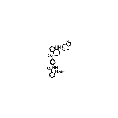 CNc1ccccc1C(=O)Nc1ccc(C(=O)N2CCCC(NC(=O)Cc3ncc[nH]3)c3ccccc32)cc1